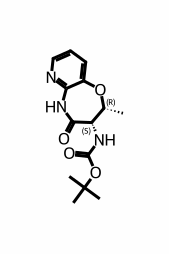 C[C@H]1Oc2cccnc2NC(=O)[C@H]1NC(=O)OC(C)(C)C